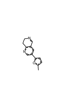 Cc1ccc(-c2cnc3c(c2)C=NCC3)o1